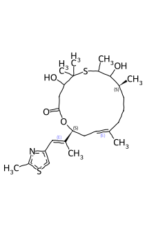 C/C1=C\C[C@@H](/C(C)=C/c2csc(C)n2)OC(=O)CC(O)C(C)(C)SC(C)C(O)[C@@H](C)CCC1